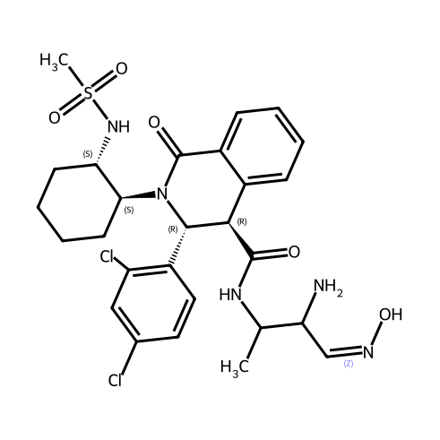 CC(NC(=O)[C@@H]1c2ccccc2C(=O)N([C@H]2CCCC[C@@H]2NS(C)(=O)=O)[C@H]1c1ccc(Cl)cc1Cl)C(N)/C=N\O